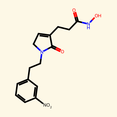 O=C(CCC1=CCN(CCc2cccc([N+](=O)[O-])c2)C1=O)NO